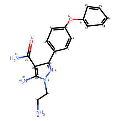 NCCn1nc(-c2ccc(Oc3ccccc3)cc2)c(C(N)=O)c1N